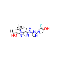 C[C@H](O)c1nc2cnc(Nc3ccnc(N4CCC(O)[C@@H](F)C4)n3)cc2n1[C@@H](C)C(F)(F)F